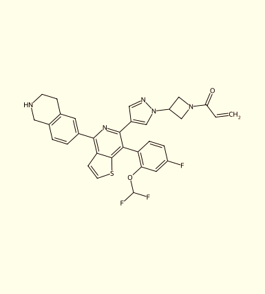 C=CC(=O)N1CC(n2cc(-c3nc(-c4ccc5c(c4)CCNC5)c4ccsc4c3-c3ccc(F)cc3OC(F)F)cn2)C1